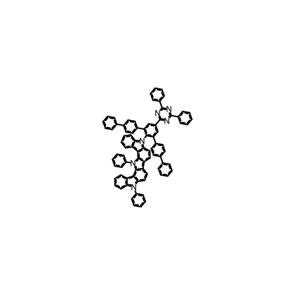 c1ccc(-c2ccc(-c3cc(-c4nc(-c5ccccc5)nc(-c5ccccc5)n4)cc(-c4ccc(-c5ccccc5)cc4)c3-n3c4ccccc4c4c3ccc3c5ccc6c(c7ccccc7n6-c6ccccc6)c5n(-c5ccccc5)c34)cc2)cc1